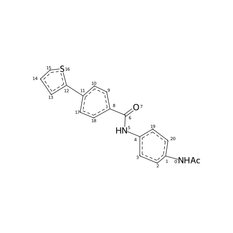 CC(=O)Nc1ccc(NC(=O)c2ccc(-c3cccs3)cc2)cc1